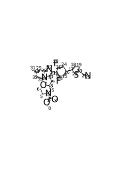 COC(=O)N1CCO[C@@H](Cc2c(-c3c(F)cc(-c4ccc(C#N)s4)cc3F)nc3cc(C)ccn23)C1